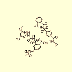 COc1cc(OC)nc(NC(=O)NS(=O)(=O)c2cc(CNS(C)(=O)=O)ccc2C(=O)O)n1.COc1ccccc1C(=O)NS(=O)(=O)c1ccc(C(=O)NC2CC2)cc1